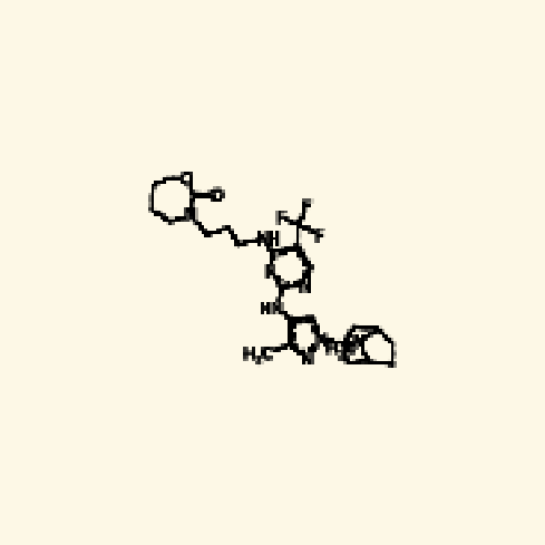 Cc1nn(C2CC3CCC(C2)N3C)cc1Nc1ncc(C(F)(F)F)c(NCCCN2CCCCOC2=O)n1